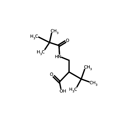 CC(C)(C)C(=O)NCC(C(=O)O)C(C)(C)C